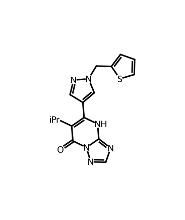 CC(C)c1c(-c2cnn(Cc3cccs3)c2)[nH]c2ncnn2c1=O